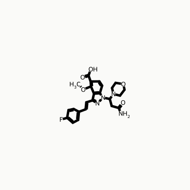 COc1c(C(=O)O)ccc2c1c(C=Cc1ccc(F)cc1)nn2C(CC(N)=O)N1CCOCC1